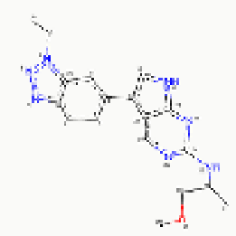 CCn1nnc2ccc(-c3c[nH]c4nc(NC(C)COC)ncc34)cc21